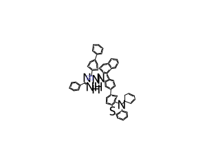 N=C(/N=C(\Nn1c2cc(-c3ccc4c(c3)N(C3C=CC=CC3)c3ccccc3S4)ccc2c2c3ccccc3ccc21)c1ccc(-c2ccccc2)cc1)c1ccccc1